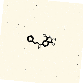 O=c1[nH]nc(Cl)c2cc(NCCc3ccccc3)ccc12